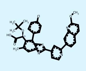 COc1ccc2ccc(-c3cc(-c4nc5cc(C)c([C@H](OC(C)(C)C)C(=O)O)c(-c6ccc(Cl)cc6)c5s4)ccn3)cc2n1